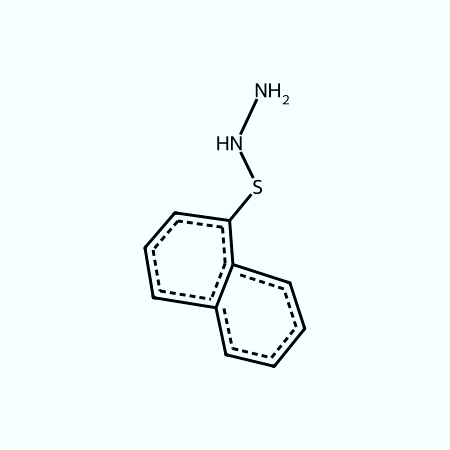 NNSc1cccc2ccccc12